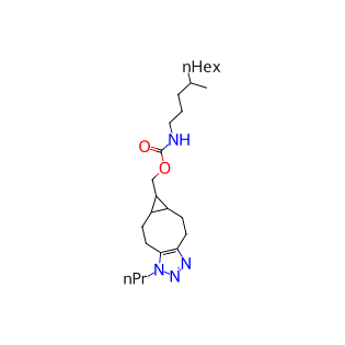 CCCCCCC(C)CCCNC(=O)OCC1C2CCc3nnn(CCC)c3CCC21